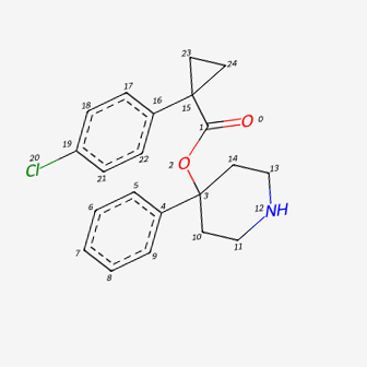 O=C(OC1(c2ccccc2)CCNCC1)C1(c2ccc(Cl)cc2)CC1